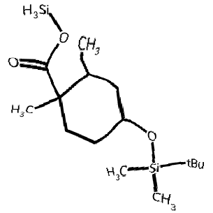 CC1CC(O[Si](C)(C)C(C)(C)C)CCC1(C)C(=O)O[SiH3]